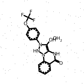 O.O=C1NC2=C(O)N(c3ccc(OC(F)(F)F)cc3)NN2c2ccccc21